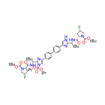 CC(C)OP(=O)(OC(C)C)n1cc(-c2ccc(-c3ccc(-c4c[nH]c([C@@H](NC(=O)[C@@H]5C[C@@H](F)CN5C(=O)OC(C)(C)C)C(C)(C)C)n4)cc3)cc2)nc1[C@@H](NC(=O)C1C[C@@H](F)CN1C(=O)OC(C)(C)C)C(C)(C)C